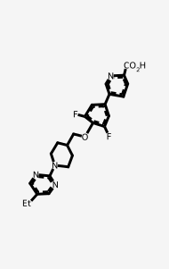 CCc1cnc(N2CCC(COc3c(F)cc(-c4ccc(C(=O)O)nc4)cc3F)CC2)nc1